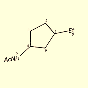 CCC1CCC(NC(C)=O)C1